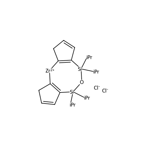 CC(C)[Si]1(C(C)C)O[Si](C(C)C)(C(C)C)C2=[C](CC=C2)[Zr+2][C]2=C1C=CC2.[Cl-].[Cl-]